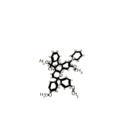 COc1ccc(C2(c3ccc(OC)cc3)C=Cc3c4c(c5cc(N6CCCCC6)c(OC)cc5c3O2)-c2ccccc2C4(C)C)cc1